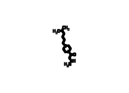 CC(C)CCCCN1CCN(C(=O)CNN)CC1